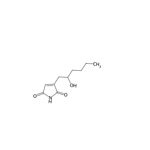 CCCCC(O)CC1=CC(=O)NC1=O